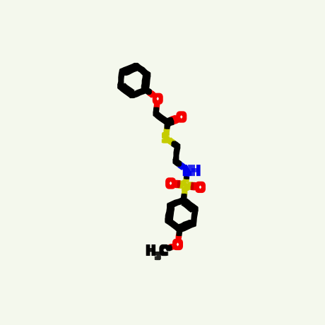 COc1ccc(S(=O)(=O)NCCSC(=O)COc2ccccc2)cc1